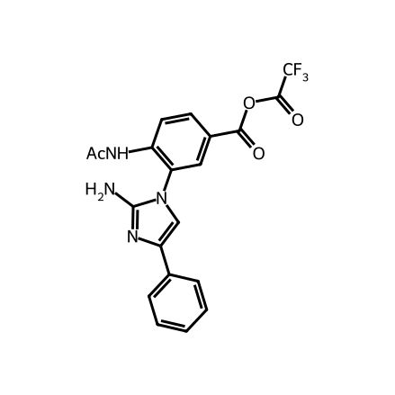 CC(=O)Nc1ccc(C(=O)OC(=O)C(F)(F)F)cc1-n1cc(-c2ccccc2)nc1N